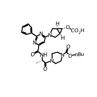 CCCCOC(=O)N1CCN(C(=O)[C@H](C)NC(=O)c2cc(N3C[C@@H]4[C@H](C3)[C@H]4OC(=O)O)nc(-c3ccccc3)n2)CC1